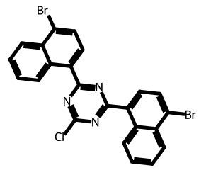 Clc1nc(-c2ccc(Br)c3ccccc23)nc(-c2ccc(Br)c3ccccc23)n1